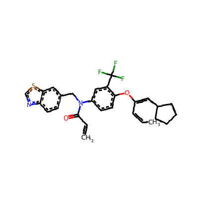 C=CC(=O)N(Cc1ccc2ncsc2c1)c1ccc(OC(/C=C\C)=C/C2CCCC2)c(C(F)(F)F)c1